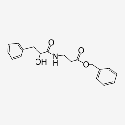 O=C(CCNC(=O)C(O)Cc1ccccc1)OCc1ccccc1